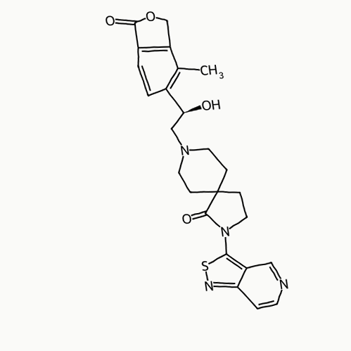 Cc1c([C@@H](O)CN2CCC3(CC2)CCN(c2snc4ccncc24)C3=O)ccc2c1COC2=O